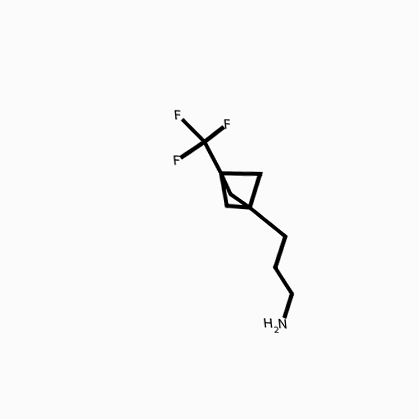 NCCCC12CC(C(F)(F)F)(C1)C2